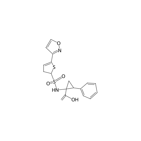 C=C(O)C1(NS(=O)(=O)C2CC=C(c3ccon3)S2)CC1c1ccccc1